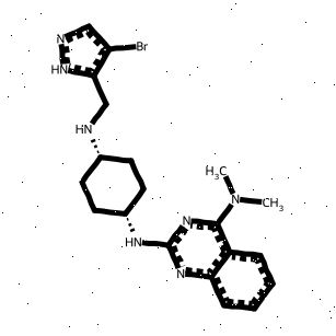 CN(C)c1nc(N[C@H]2CC[C@@H](NCc3[nH]ncc3Br)CC2)nc2ccccc12